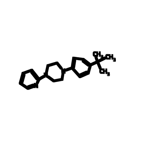 CC(C)(C)c1ccc(N2CCN(c3ccccn3)CC2)cc1